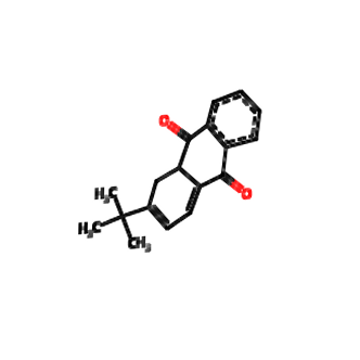 CC(C)(C)C1=CC=C2C(=O)c3ccccc3C(=O)C2C1